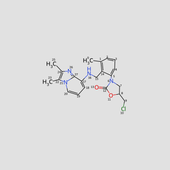 Cc1cccc(N2CC(CCl)OC2=O)c1CNc1cccn2c(C)c(C)nc12